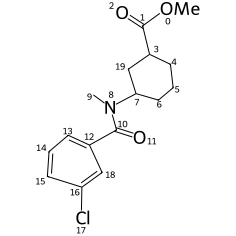 COC(=O)C1CCCC(N(C)C(=O)c2cccc(Cl)c2)C1